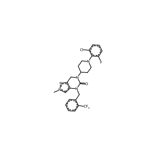 Cn1cc2c(n1)CN(C1CCN(c3c(F)cccc3Cl)CC1)C(=O)N2Cc1ccccc1C(F)(F)F